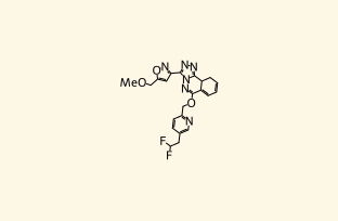 COCc1cc(-c2nnc3n2N=C(OCc2ccc(CC(F)F)cn2)C2=CC=CCC23)no1